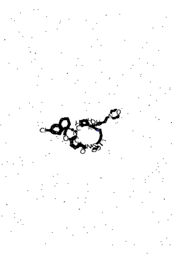 C[C@@H]1[C@@H](C)C/C=C/[C@@](O)(C#CCCN2CCOCC2)[C@@H]2CC[C@H]2CN2C[C@@]3(CCCc4cc(Cl)ccc43)COc3ccc(cc32)C(=O)NS1(=O)=O